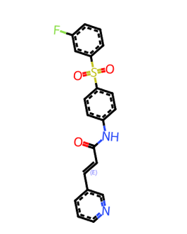 O=C(/C=C/c1cccnc1)Nc1ccc(S(=O)(=O)c2cccc(F)c2)cc1